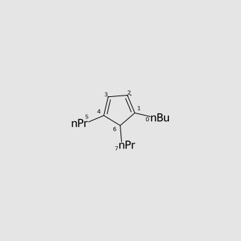 CCCCC1=[C]C=C(CCC)C1CCC